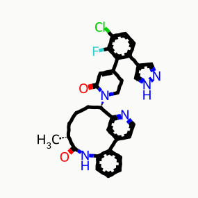 C[C@@H]1CCC[C@H](N2CCC(c3c(-c4cn[nH]c4)ccc(Cl)c3F)=CC2=O)c2cc(ccn2)-c2ccccc2NC1=O